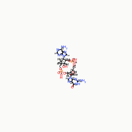 CO[C@H]1[C@H]2OP(=O)(O)OC[C@@]34C[C@@H]3[C@@H](n3cnc5c(N)ncnc53)[C@H](OP(=O)(O)OC[C@H]1O[C@H]2n1cnc2c(=O)[nH]c(N)nc21)[C@@H]4O